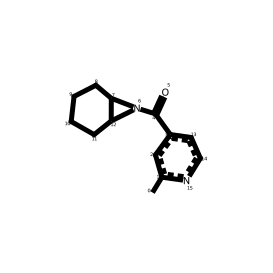 Cc1cc(C(=O)N2C3CCCCC32)ccn1